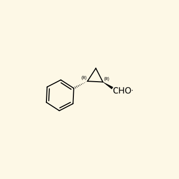 O=[C][C@@H]1C[C@H]1c1ccccc1